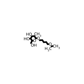 CC(C)OCCCCCOC1OC(CO)C(O)C(O)C1C